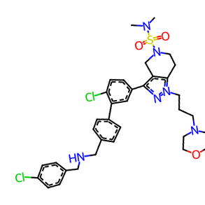 CN(C)S(=O)(=O)N1CCc2c(c(-c3ccc(Cl)c(-c4ccc(CNCc5ccc(Cl)cc5)cc4)c3)nn2CCCN2CCOCC2)C1